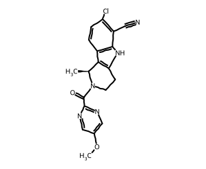 COc1cnc(C(=O)N2CCc3[nH]c4c(C#N)c(Cl)ccc4c3[C@@H]2C)nc1